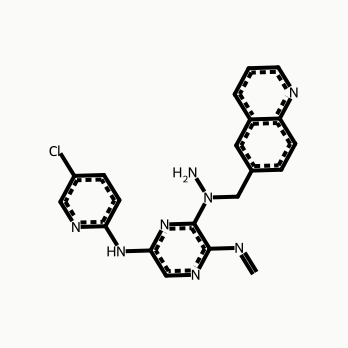 C=Nc1ncc(Nc2ccc(Cl)cn2)nc1N(N)Cc1ccc2ncccc2c1